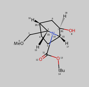 COC[C@@H]1[C@@H]2CC[C@@H]([C@H](O)C2)N1C(=O)OC(C)(C)C